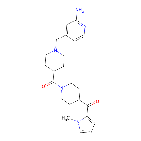 Cn1cccc1C(=O)C1CCN(C(=O)C2CCN(Cc3ccnc(N)c3)CC2)CC1